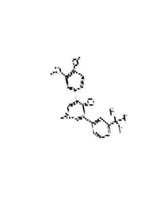 COc1ccc(-c2cn(C)cc(-c3cccc(C(F)(F)F)c3)c2=O)cc1OC